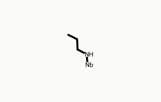 CCC[NH][Nb]